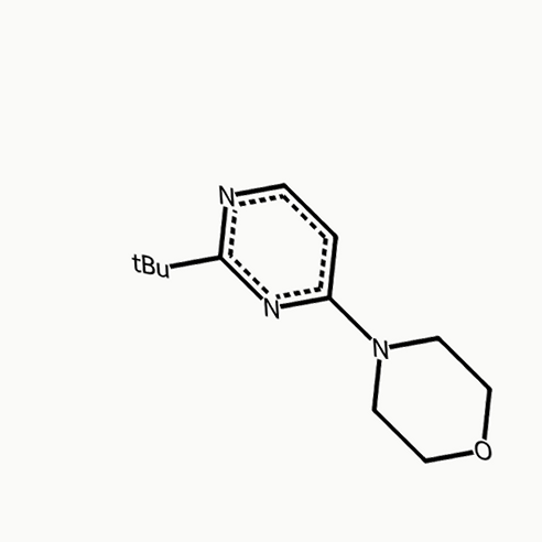 CC(C)(C)c1nccc(N2CCOCC2)n1